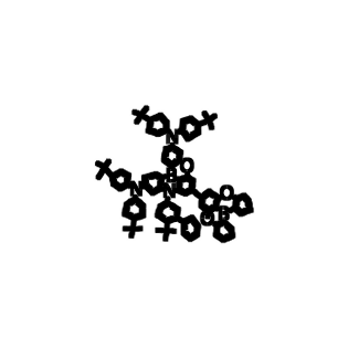 CC(C)(C)c1ccc(N(c2ccc(C(C)(C)C)cc2)c2ccc3c(c2)Oc2cc(-c4cc5c6c(c4)Oc4ccccc4B6c4ccccc4O5)cc4c2B3c2ccc(N(c3ccc(C(C)(C)C)cc3)c3ccc(C(C)(C)C)cc3)cc2N4c2ccc(C(C)(C)C)c(-c3ccccc3)c2)cc1